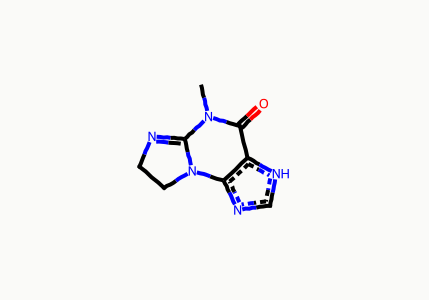 CN1C(=O)c2[nH]cnc2N2CCN=C12